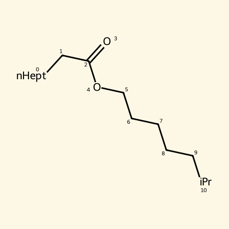 CCCCCCCCC(=O)OCCCCCC(C)C